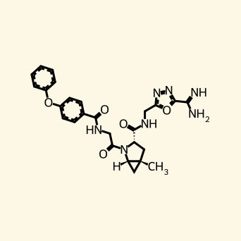 C[C@@]12C[C@@H]1N(C(=O)CNC(=O)c1ccc(Oc3ccccc3)cc1)[C@H](C(=O)NCc1nnc(C(=N)N)o1)C2